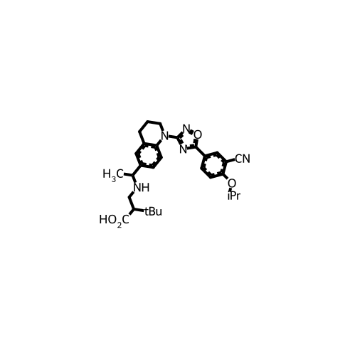 CC(C)Oc1ccc(-c2nc(N3CCCc4cc(C(C)NCC(C(=O)O)C(C)(C)C)ccc43)no2)cc1C#N